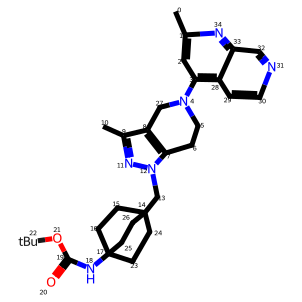 Cc1cc(N2CCc3c(c(C)nn3CC34CCC(NC(=O)OC(C)(C)C)(CC3)CC4)C2)c2ccncc2n1